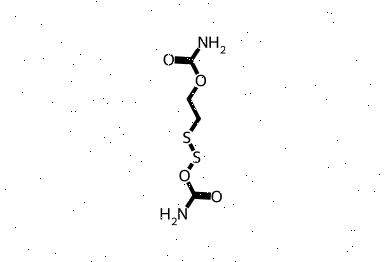 NC(=O)OCCSSOC(N)=O